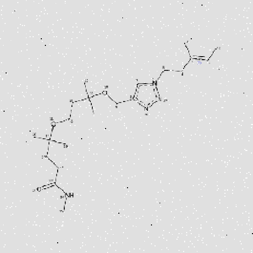 C/C=C(\C)CCn1cc(COC(C)(C)CCOC(C)(C)CCC(=O)NC)nn1